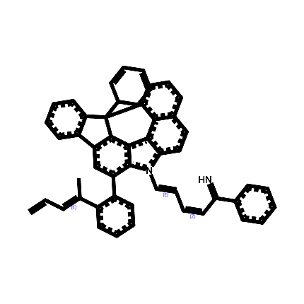 C=C/C=C(\C)c1ccccc1-c1cc2c3c4c5c6c(cccc6ccc5n(/C=C/C=C\C(=N)c5ccccc5)c14)C3(C1C=CC=CC1)c1ccccc1-2